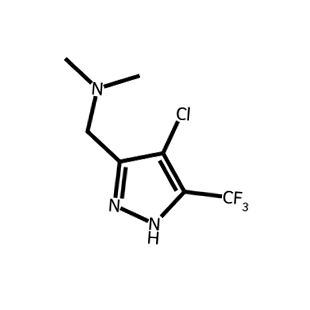 CN(C)Cc1n[nH]c(C(F)(F)F)c1Cl